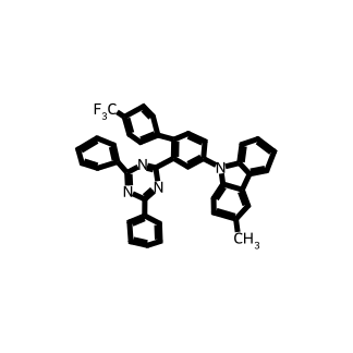 Cc1ccc2c(c1)c1ccccc1n2-c1ccc(-c2ccc(C(F)(F)F)cc2)c(-c2nc(-c3ccccc3)nc(-c3ccccc3)n2)c1